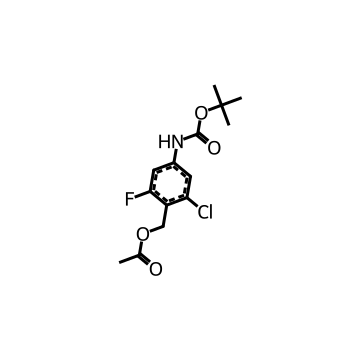 CC(=O)OCc1c(F)cc(NC(=O)OC(C)(C)C)cc1Cl